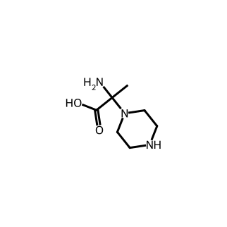 CC(N)(C(=O)O)N1CCNCC1